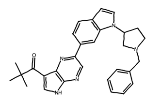 CC(C)(C)C(=O)c1c[nH]c2ncc(-c3ccc4ccn(C5CCN(Cc6ccccc6)C5)c4c3)nc12